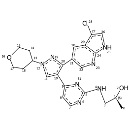 C[C@H](O)CNc1nccc(-c2cn(C3CCOCC3)nc2-c2cnc3[nH]cc(Cl)c3c2)n1